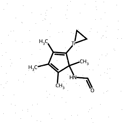 CC1=C(C)C(C)(NC=O)[C]([Ti]2[CH2][CH2]2)=C1C